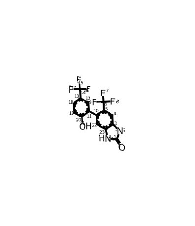 O=C1[N]c2cc(C(F)(F)F)c(-c3cc(C(F)(F)F)ccc3O)cc2N1